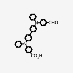 O=Cc1ccc(N(c2ccccc2)c2ccc(-c3ccc(N(c4ccccc4)c4ccc(C(=O)O)cc4)cc3)cc2)cc1